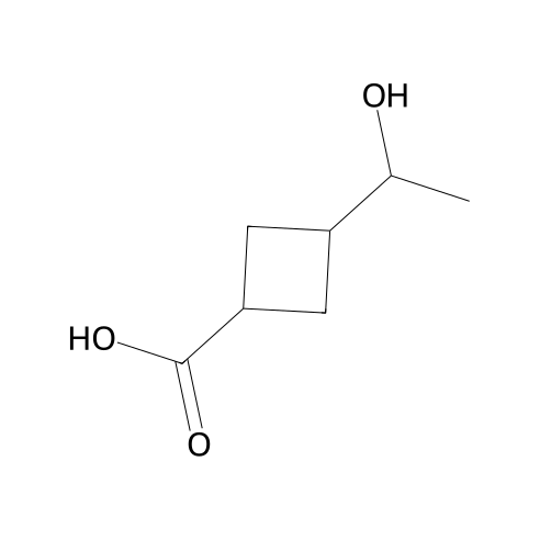 CC(O)C1CC(C(=O)O)C1